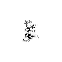 COc1nc(N)nc2c1ncn2[C@@H]1O[C@H](CO[Si](C)(C)C(C)(C)C)[C@@H](O[Si](C)(C)C(C)(C)C)[C@@H]1O